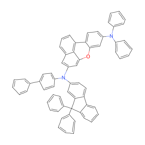 c1ccc(-c2ccc(N(c3ccc4c(c3)C(c3ccccc3)(c3ccccc3)c3ccccc3-4)c3cc4c5c(cccc5c3)-c3ccc(N(c5ccccc5)c5ccccc5)cc3O4)cc2)cc1